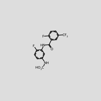 O=C(O)Nc1ccc(F)c(NC(=O)c2cc(C(F)(F)F)ccc2F)c1